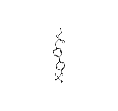 CCOC(=O)Cc1ccc(-c2ccc(OC(F)(F)F)cc2)cc1